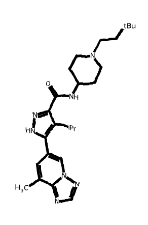 Cc1cc(-c2[nH]nc(C(=O)NC3CCN(CCC(C)(C)C)CC3)c2C(C)C)cn2ncnc12